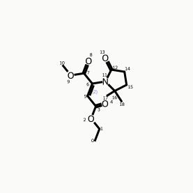 CCOC(=O)/C=C(/C(=O)OC)N1C(=O)CCC1(C)C